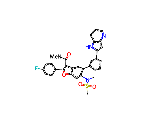 CNC(=O)c1c(-c2ccc(F)cc2)oc2cc(N(C)S(C)(=O)=O)c(-c3cccc(-c4cc5ncccc5[nH]4)c3)cc12